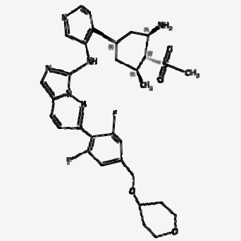 C[C@H]1C[C@@H](c2ccncc2Nc2ncc3ccc(-c4c(F)cc(COC5CCOCC5)cc4F)nn23)C[C@@H](N)[C@@H]1S(C)(=O)=O